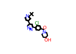 CC(C)(C)c1cc(-c2cnnc(-c3ccc(C(=O)N4CCC(O)CC4)cc3Cl)c2)ccn1